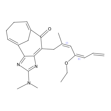 C=C/C=C(\C=C(\C)CC1=C2N=C(N(C)C)N=C2C2=CCCC=C(C2)C1=O)OCC